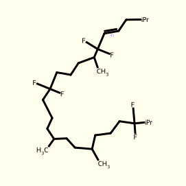 CC(C)C/C=C/C(F)(F)C(C)CCCC(F)(F)CCCC(C)CCC(C)CCCC(F)(F)C(C)C